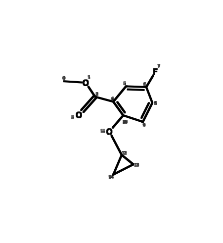 COC(=O)c1cc(F)ccc1OC1CC1